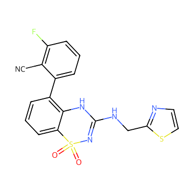 N#Cc1c(F)cccc1-c1cccc2c1NC(NCc1nccs1)=NS2(=O)=O